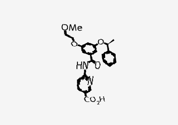 COCCOc1cc(O[C@@H](C)c2ccccc2)cc(C(=O)Nc2ccc(C(=O)O)cn2)c1